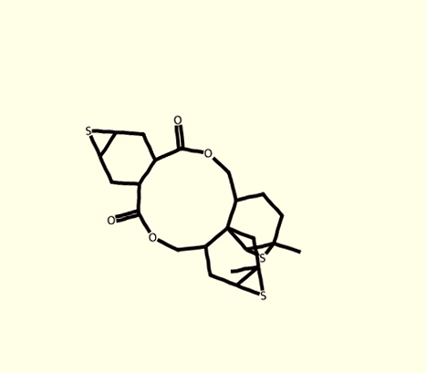 CC12CC34C(CCC5(C)SC53)COC(=O)C3CC5SC5CC3C(=O)OCC4CC1S2